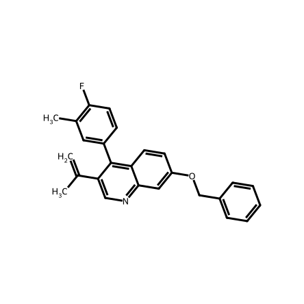 C=C(C)c1cnc2cc(OCc3ccccc3)ccc2c1-c1ccc(F)c(C)c1